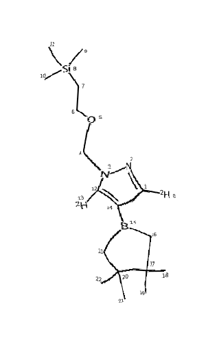 [2H]c1nn(COCC[Si](C)(C)C)c([2H])c1B1CC(C)(C)C(C)(C)C1